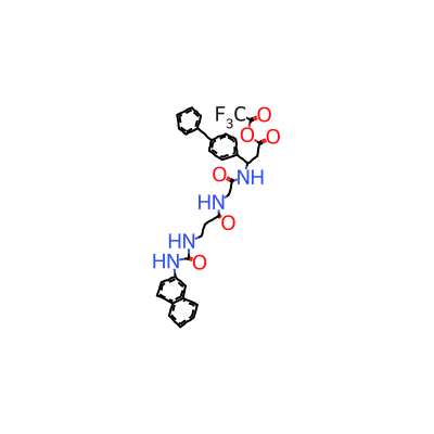 O=C(CCNC(=O)Nc1ccc2ccccc2c1)NCC(=O)NC(CC(=O)OC(=O)C(F)(F)F)c1ccc(-c2ccccc2)cc1